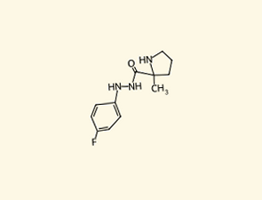 CC1(C(=O)NNc2ccc(F)cc2)CCCN1